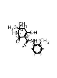 Cc1ccccc1NC(=S)C1=C(O)CC(C)(C)NC1=O